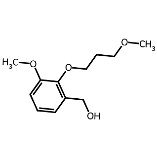 COCCCOc1c(CO)cccc1OC